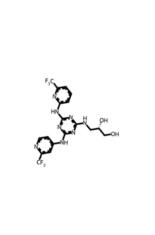 OC[C@@H](O)CNc1nc(Nc2ccnc(C(F)(F)F)c2)nc(Nc2cccc(C(F)(F)F)n2)n1